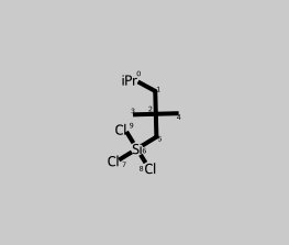 CC(C)CC(C)(C)C[Si](Cl)(Cl)Cl